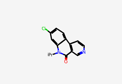 CC(C)n1c(=O)c2cnccc2c2ccc(Cl)cc21